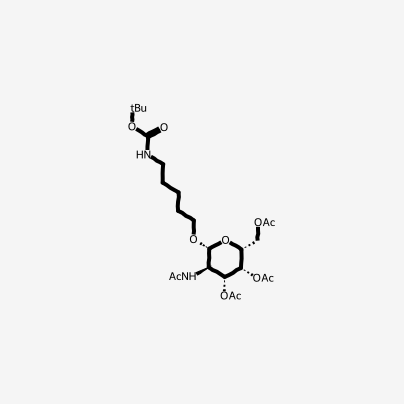 CC(=O)N[C@H]1[C@H](OCCCCCNC(=O)OC(C)(C)C)O[C@H](COC(C)=O)[C@H](OC(C)=O)[C@@H]1OC(C)=O